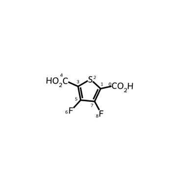 O=C(O)c1sc(C(=O)O)c(F)c1F